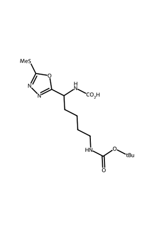 CSc1nnc(C(CCCCNC(=O)OC(C)(C)C)NC(=O)O)o1